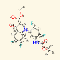 CCOC(=O)c1cn(-c2cc(NC(=O)OC(C)(C)C)c(F)cc2F)c2c(C)c(F)c(F)cc2c1=O